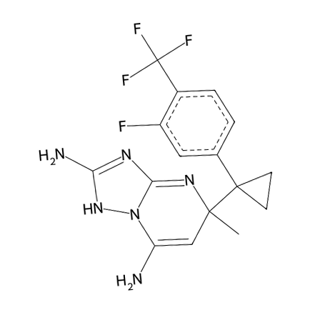 CC1(C2(c3ccc(C(F)(F)F)c(F)c3)CC2)C=C(N)N2NC(N)=NC2=N1